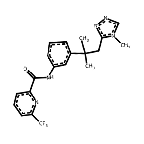 Cn1cnnc1CC(C)(C)c1cccc(NC(=O)c2cccc(C(F)(F)F)n2)c1